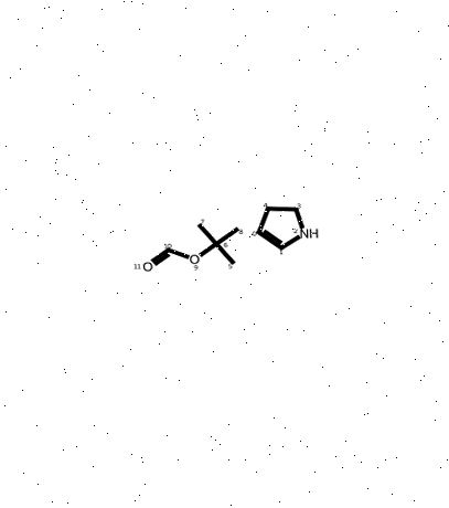 C1=CNCC1.CC(C)(C)OC=O